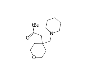 CC(C)(C)C(=O)CC1(CN2CCCCC2)CCOCC1